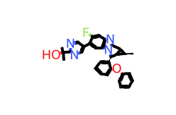 C[C@@H]1C2c3nc4cc(F)c(-c5cnc(C(C)(C)O)nc5)cc4n3[C@@H](c3ccccc3Oc3ccccc3)C21